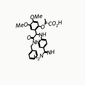 COc1cc(O[C@H](C)C(=O)O)c(C(Nc2ccc(C(=N)N)cc2)C(=O)NCc2ccccc2)cc1OC